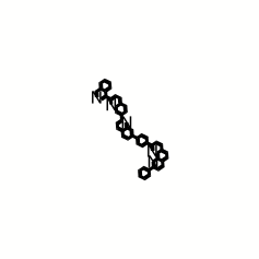 c1ccc(-c2ccc3ccc4ccc(-c5ccc(-c6ccc7ccc(-c8ccc9ccc(-c%10cncc%11ccccc%10%11)nc9c8)nc7c6)cc5)nc4c3n2)cc1